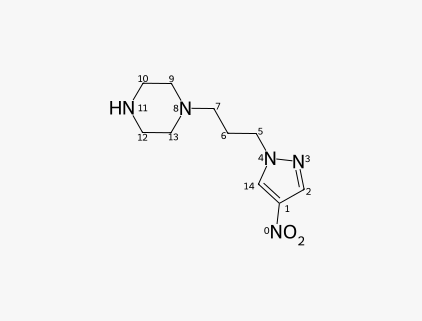 O=[N+]([O-])c1cnn(CCCN2CCNCC2)c1